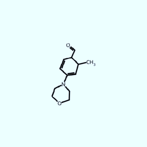 CC1C=C(N2CCOCC2)C=CC1C=O